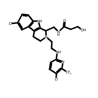 O=C(CCO)NCC1c2[nH]c3ccc(Cl)cc3c2CCN1CCNc1ccc(Cl)c(C(F)(F)F)n1